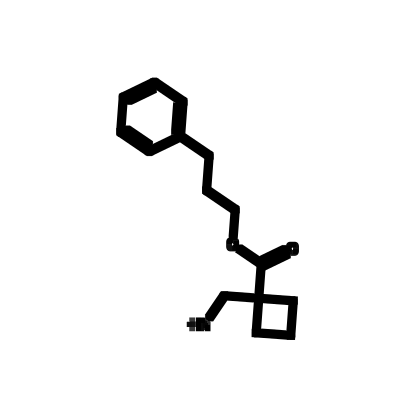 [NH]CC1(C(=O)OCCCc2ccccc2)CCC1